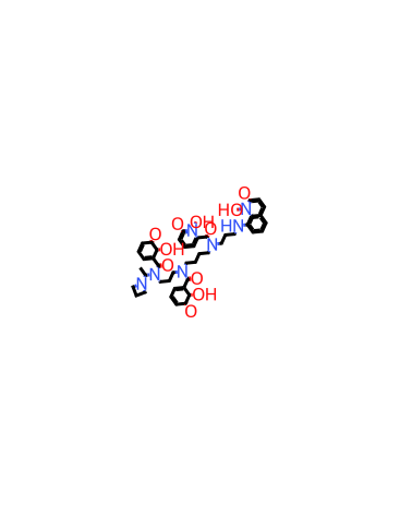 CC(N1CCC1)N(CCCN(CCCCN(CCCNc1cccc2ccc(=O)n(O)c12)C(=O)c1cccc(=O)n1O)C(=O)C1=CC=CC(=O)C1O)C(=O)C1=CC=CC(=O)C1O